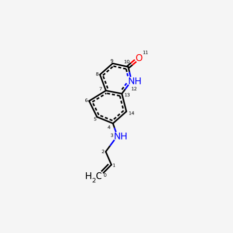 C=CCNc1ccc2ccc(=O)[nH]c2c1